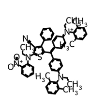 CCN(c1ccccc1[N+](=O)[O-])c1sc(C(=C2C=CC(=[N+](CC)c3c(C)cccc3C)C=C2)c2ccc(N(CC)c3c(C)cccc3C)cc2)c(-c2ccccc2)c1C#N